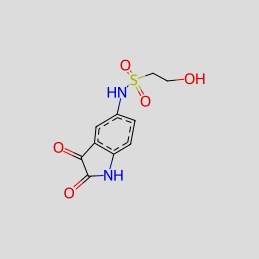 O=C1Nc2ccc(NS(=O)(=O)CCO)cc2C1=O